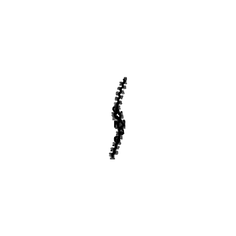 CCCCCCCCCCCCOc1ccc(-c2ncc(OCCOCCCCCCC)cn2)cc1